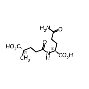 C[C@@H](CCC(=O)N[C@@H](CCC(N)=O)C(=O)O)C(=O)O